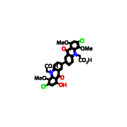 COc1cc(Cl)c(OC)c2c1c(=O)c1cc(-c3ccc4c(c3)c(=O)c3c(O)cc(Cl)c(OC)c3n4CC(=O)O)ccc1n2CC(=O)O